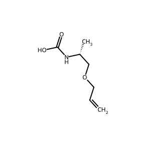 C=CCOC[C@@H](C)NC(=O)O